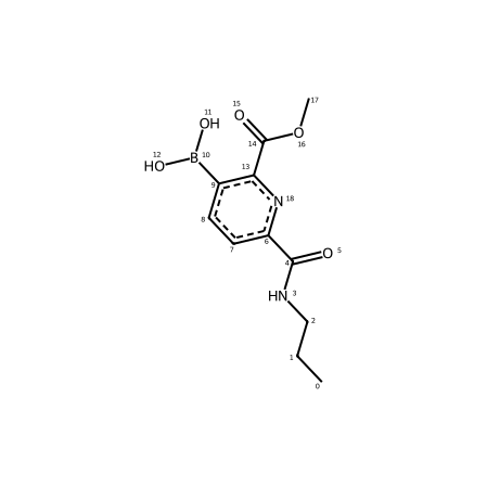 CCCNC(=O)c1ccc(B(O)O)c(C(=O)OC)n1